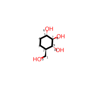 OC[C@H]1CC[C@H](O)[C@@H](O)[C@@H]1O